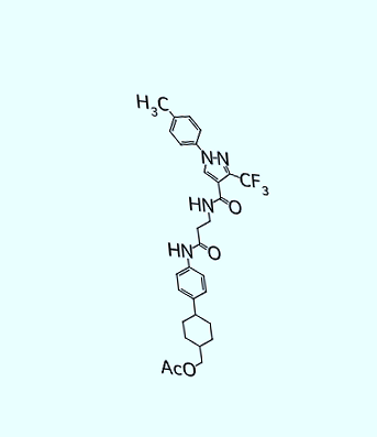 CC(=O)OCC1CCC(c2ccc(NC(=O)CCNC(=O)c3cn(-c4ccc(C)cc4)nc3C(F)(F)F)cc2)CC1